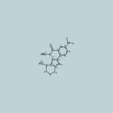 CCCCOC(=O)c1cc(N(C)C)ccc1-c1nc2c(s1)C(O)CCC2